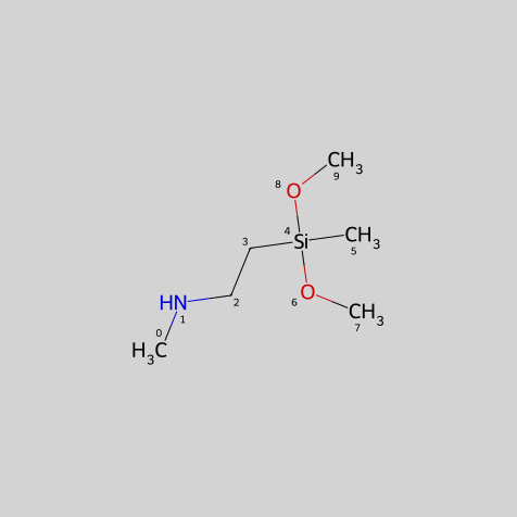 CNCC[Si](C)(OC)OC